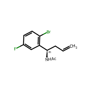 C=CC[C@@H](NC(C)=O)c1cc(F)ccc1Br